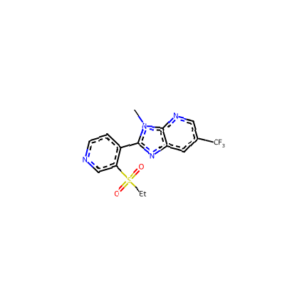 CCS(=O)(=O)c1cnccc1-c1nc2cc(C(F)(F)F)cnc2n1C